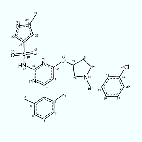 Cc1cccc(C)c1-c1cc(OC2CCN(Cc3cccc(Cl)c3)C2)nc(NS(=O)(=O)c2cnn(C)c2)n1